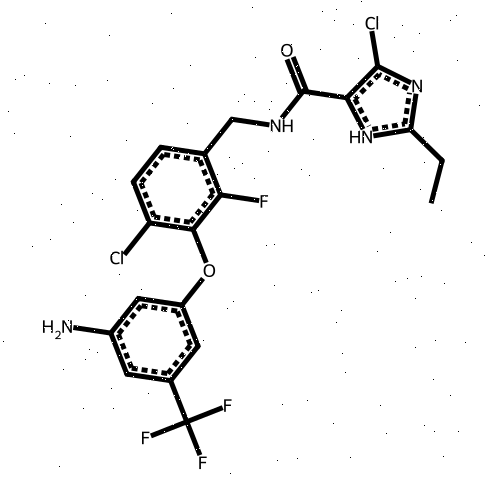 CCc1nc(Cl)c(C(=O)NCc2ccc(Cl)c(Oc3cc(N)cc(C(F)(F)F)c3)c2F)[nH]1